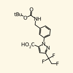 CC(C)(C)OC(=O)NCc1cccc(-n2nc(C(F)(F)CF)cc2C(=O)O)c1